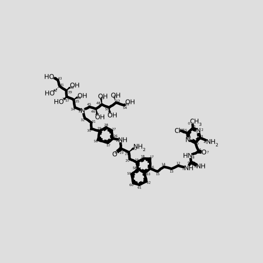 Cc1nc(N)c(C(=O)NC(=N)NCCCCc2ccc(C[C@H](N)C(=O)Nc3ccc(CCCN(C[C@H](O)[C@@H](O)[C@H](O)[C@H](O)CO)C[C@H](O)[C@@H](O)[C@H](O)[C@H](O)CO)cc3)c3ccccc23)nc1Cl